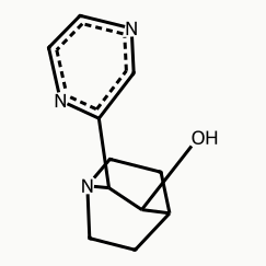 OC1C2CCN(CC2)C1c1cnccn1